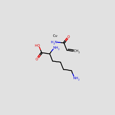 C=CC(N)=O.NCCCCC(N)C(=O)O.[Cu]